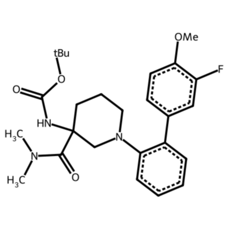 COc1ccc(-c2ccccc2N2CCCC(NC(=O)OC(C)(C)C)(C(=O)N(C)C)C2)cc1F